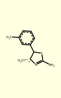 Cc1cccc(C2SC(N)=N[C@@H]2C)c1